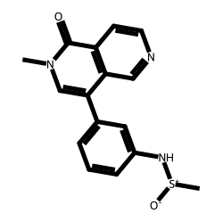 Cn1cc(-c2cccc(N[S+](C)[O-])c2)c2cnccc2c1=O